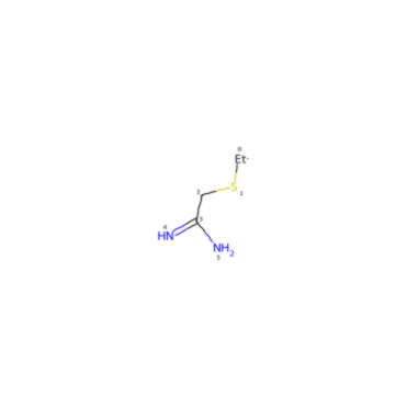 C[CH]SCC(=N)N